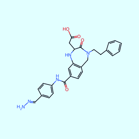 NN=Cc1ccc(NC(=O)c2ccc3c(c2)NC(CC(=O)O)C(=O)N(CCc2ccccc2)C3)cc1